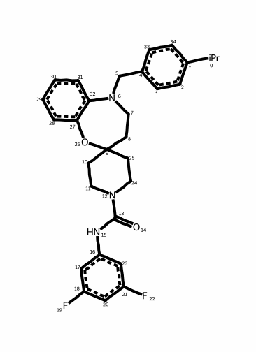 CC(C)c1ccc(CN2CCC3(CCN(C(=O)Nc4cc(F)cc(F)c4)CC3)Oc3ccccc32)cc1